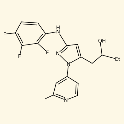 CCC(O)Cc1cc(Nc2ccc(F)c(F)c2F)nn1-c1ccnc(C)c1